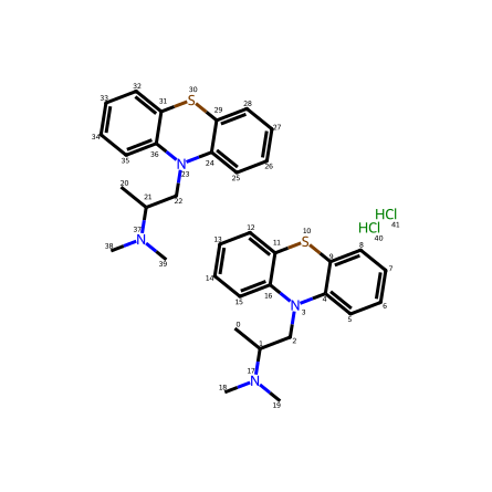 CC(CN1c2ccccc2Sc2ccccc21)N(C)C.CC(CN1c2ccccc2Sc2ccccc21)N(C)C.Cl.Cl